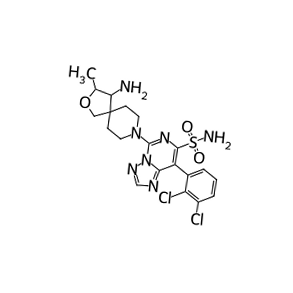 CC1OCC2(CCN(c3nc(S(N)(=O)=O)c(-c4cccc(Cl)c4Cl)c4ncnn34)CC2)C1N